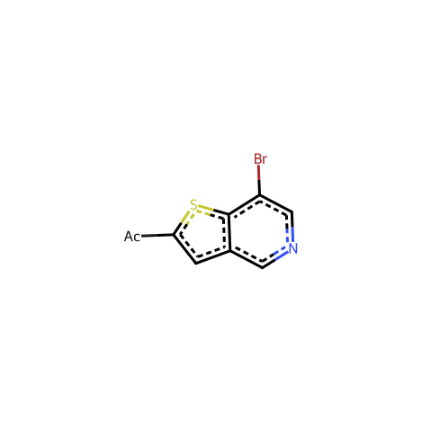 CC(=O)c1cc2cncc(Br)c2s1